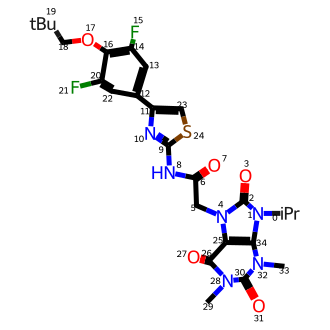 CC(C)n1c(=O)n(CC(=O)Nc2nc(-c3cc(F)c(OCC(C)(C)C)c(F)c3)cs2)c2c(=O)n(C)c(=O)n(C)c21